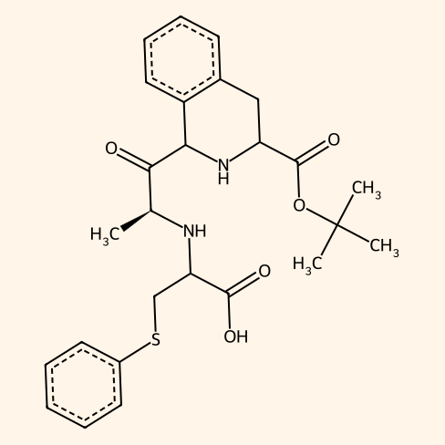 C[C@H](NC(CSc1ccccc1)C(=O)O)C(=O)C1NC(C(=O)OC(C)(C)C)Cc2ccccc21